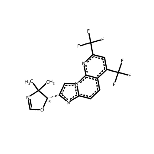 CC1(C)N=CO[C@H]1c1cn2c(ccc3c(C(F)(F)F)cc(C(F)(F)F)nc32)n1